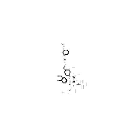 CNCc1cccc(NC(=O)OCCc2ccc(C(C(=O)O)N(c3ccc4cnccc4c3)N(C(=O)OC(C)(C)C)C(=O)OC(C)(C)C)cc2C)c1